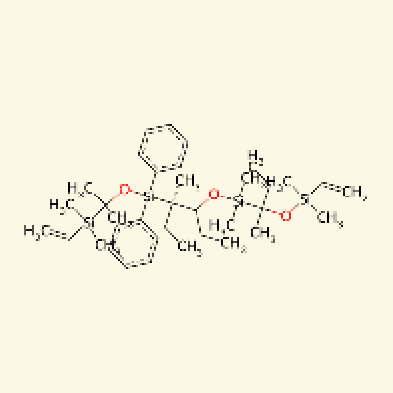 C=C[Si](C)(C)OC(C)(CC)[Si](C)(C)OC(CC)[C@@](C)(CC)[Si](OC(C)(C)[Si](C)(C)C=C)(c1ccccc1)c1ccccc1